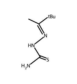 CC(=NNC(N)=S)C(C)(C)C